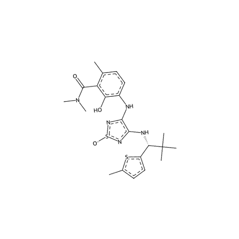 Cc1ccc([C@H](Nc2n[s+]([O-])nc2Nc2ccc(C)c(C(=O)N(C)C)c2O)C(C)(C)C)s1